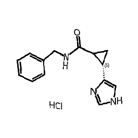 Cl.O=C(NCc1ccccc1)C1C[C@@H]1c1c[nH]cn1